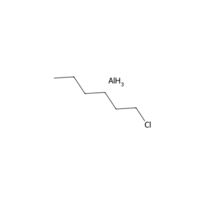 CCCCCCCl.[AlH3]